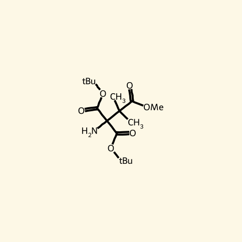 COC(=O)C(C)(C)C(N)(C(=O)OC(C)(C)C)C(=O)OC(C)(C)C